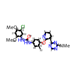 CNc1ncnc(-c2cccnc2Oc2ccc(NC(=O)Nc3cc(Cl)c(OC)cc3OC)cc2C)n1